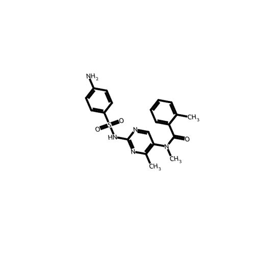 Cc1ccccc1C(=O)N(C)c1cnc(NS(=O)(=O)c2ccc(N)cc2)nc1C